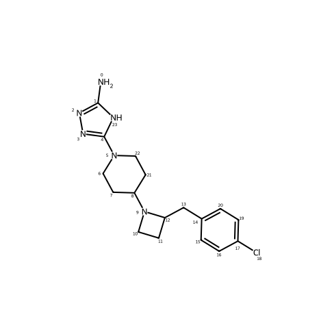 Nc1nnc(N2CCC(N3CCC3Cc3ccc(Cl)cc3)CC2)[nH]1